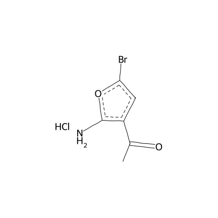 CC(=O)c1cc(Br)oc1N.Cl